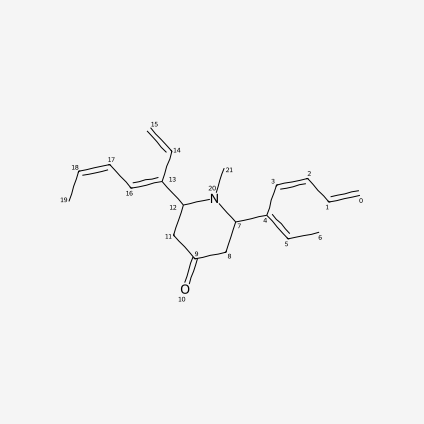 C=C/C=C\C(=C/C)C1CC(=O)CC(/C(C=C)=C/C=C\C)N1C